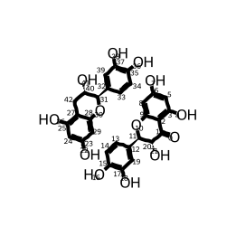 O=C1c2c(O)cc(O)cc2O[C@H](c2ccc(O)c(O)c2)[C@H]1O.Oc1cc(O)c2c(c1)O[C@H](c1ccc(O)c(O)c1)[C@@H](O)C2